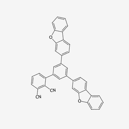 N#Cc1cccc(-c2cc(-c3ccc4c(c3)oc3ccccc34)cc(-c3ccc4c(c3)oc3ccccc34)c2)c1C#N